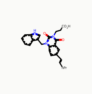 CCCC=Cc1ccc2c(c1)c(=O)n(CCC(=O)O)c(=O)n2Cc1c[nH]c2ccccc12